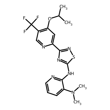 CC(C)Oc1cc(-c2nsc(Nc3ncccc3N(C)C)n2)ncc1C(F)(F)F